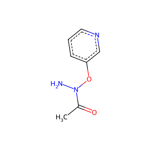 CC(=O)N(N)Oc1cccnc1